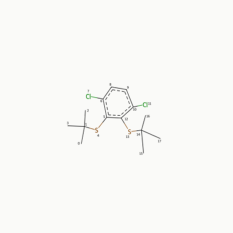 CC(C)(C)Sc1c(Cl)ccc(Cl)c1SC(C)(C)C